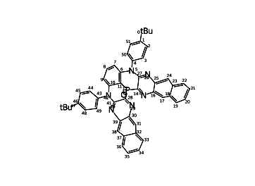 CC(C)(C)c1ccc(N2c3cccc4c3P(=O)(c3nc5cc6ccccc6cc5nc32)c2nc3cc5ccccc5cc3nc2N4c2ccc(C(C)(C)C)cc2)cc1